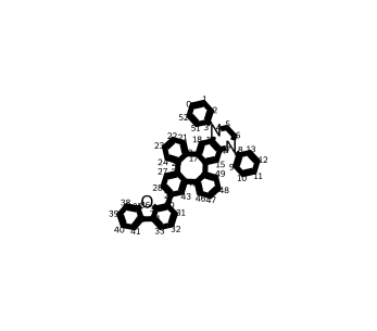 c1ccc(N2CCN(c3ccccc3)c3cc4c(cc32)-c2ccccc2-c2ccc(-c3cccc5c3oc3ccccc35)cc2-c2ccccc2-4)cc1